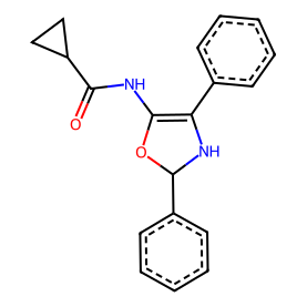 O=C(NC1=C(c2ccccc2)NC(c2ccccc2)O1)C1CC1